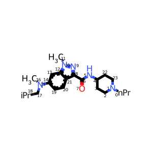 CCCN1CCC(NC(=O)c2nn(C)c3cc(N(C)CC(C)C)ccc23)CC1